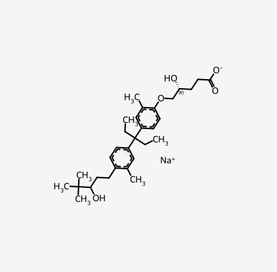 CCC(CC)(c1ccc(CCC(O)C(C)(C)C)c(C)c1)c1ccc(OC[C@H](O)CCC(=O)[O-])c(C)c1.[Na+]